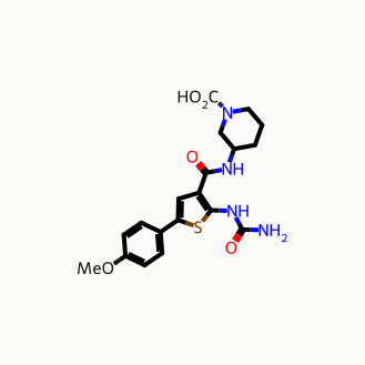 COc1ccc(-c2cc(C(=O)NC3CCCN(C(=O)O)C3)c(NC(N)=O)s2)cc1